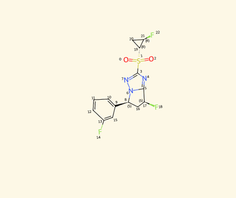 O=S(=O)(c1nc2n(n1)[C@H](c1cccc(F)c1)C[C@@H]2F)[C@@H]1C[C@H]1F